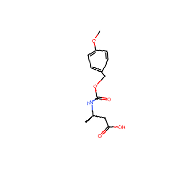 COc1ccc(COC(=O)N[C@H](C)CC(=O)O)cc1